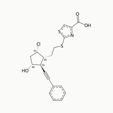 O=C(O)c1csc(SCC[C@@H]2[C@@H](C#Cc3ccccc3)[C@H](O)C[C@@H]2Cl)n1